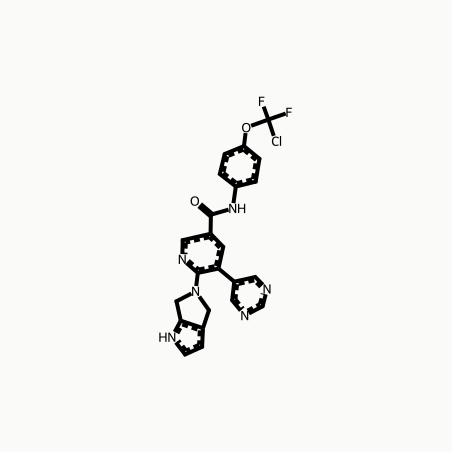 O=C(Nc1ccc(OC(F)(F)Cl)cc1)c1cnc(N2Cc3cc[nH]c3C2)c(-c2cncnc2)c1